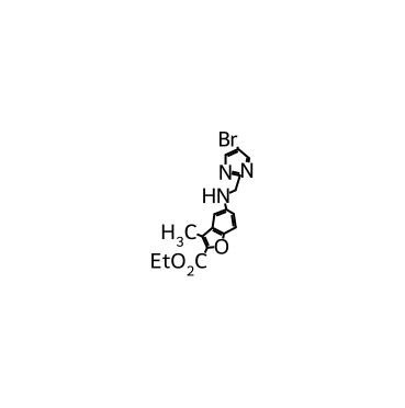 CCOC(=O)c1oc2ccc(NCc3ncc(Br)cn3)cc2c1C